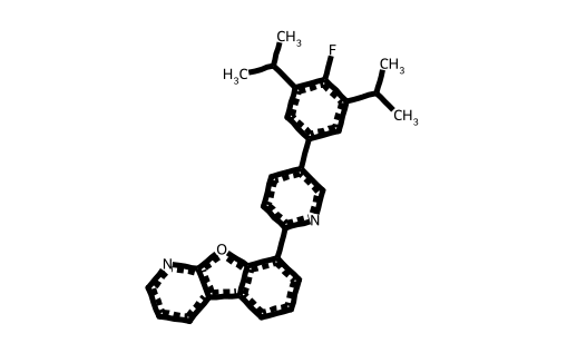 CC(C)c1cc(-c2ccc(-c3cccc4c3oc3ncccc34)nc2)cc(C(C)C)c1F